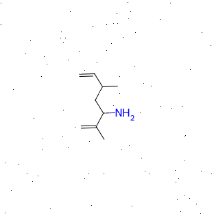 C=CC(C)CC(N)C(=C)C